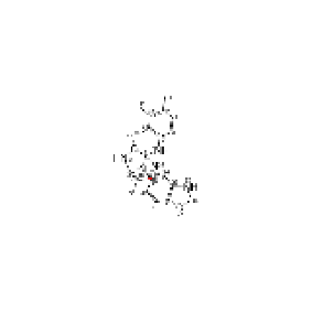 CC1=C2NOC(Nc3ccc(C)c(C)c3F)(N=C1)N2c1ccc2c(c1)NCO2